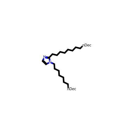 CCCCCCCCCCCCCCCCCCc1nccn1CCCCCCCCCCCCCCCCC